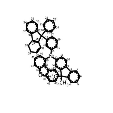 CC1(C)c2ccccc2-c2ccc(N(c3cccc(C4(c5ccccc5)C5=C(CCC=C5)c5ccccc54)c3)c3cccc4oc5ccccc5c34)cc21